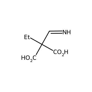 CCC(C=N)(C(=O)O)C(=O)O